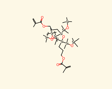 C=C(C)C(=O)OCCC[Si](O[Si](CCCOC(=O)C(=C)C)([Si](C)(C)O[Si](C)(C)C)[Si](C)(C)O[Si](C)(C)C)([Si](C)(C)O[Si](C)(C)C)[Si](C)(C)O[Si](C)(C)C